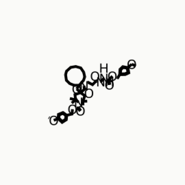 COc1ccc(COC(=O)NNC(=O)CCN2C(=O)C3(CC(C)(C)N(C(=O)OCc4ccc(OC)cc4)C(C)(C)C3)OC23CCCCCCCCCCC3)cc1